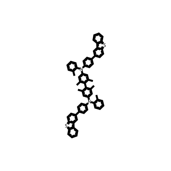 Cc1ccccc1N(c1ccc(-c2ccc3sc4ccccc4c3c2)cc1)c1cc(C)c(-c2c(C)cc(N(c3ccc(-c4ccc5sc6ccccc6c5c4)cc3)c3ccccc3C)cc2C)c(C)c1